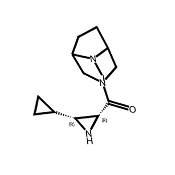 O=C([C@@H]1N[C@@H]1C1CC1)N1CC2CCC(C1)N2I